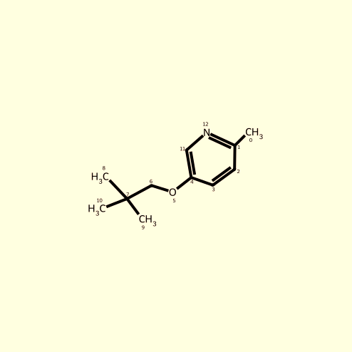 Cc1ccc(OCC(C)(C)C)cn1